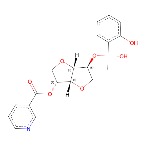 CC(O)(O[C@H]1CO[C@H]2[C@@H]1OC[C@H]2OC(=O)c1cccnc1)c1ccccc1O